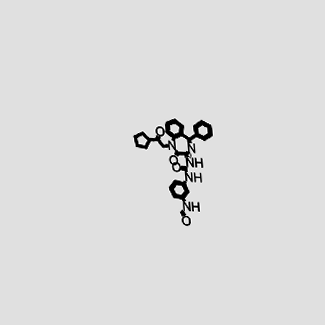 O=CNc1cccc(NC(=O)N[C@@H]2N=C(c3ccccc3)c3ccccc3N(CC(=O)C3CCCC3)C2=O)c1